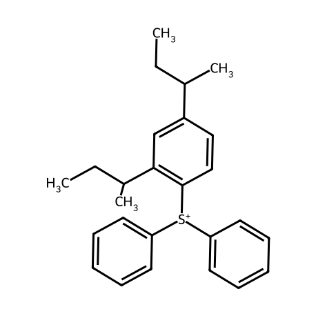 CCC(C)c1ccc([S+](c2ccccc2)c2ccccc2)c(C(C)CC)c1